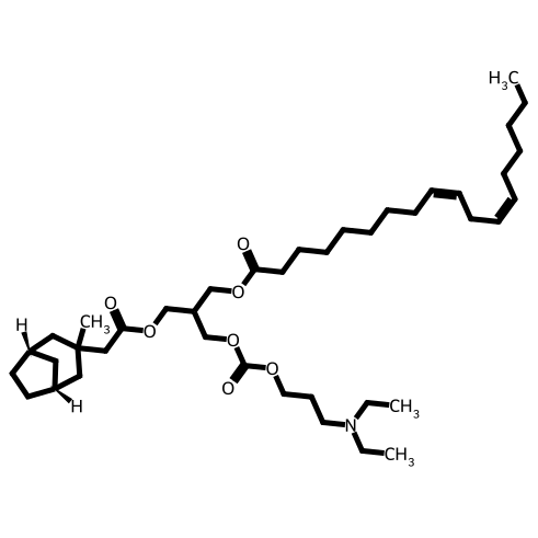 CCCCC/C=C\C/C=C\CCCCCCCC(=O)OCC(COC(=O)CC1(C)C[C@@H]2CC[C@@H](C2)C1)COC(=O)OCCCN(CC)CC